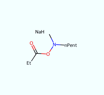 CCCCCN(C)OC(=O)CC.[NaH]